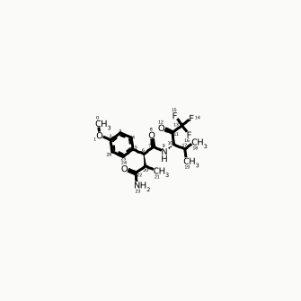 COc1ccc([C@@H](C(=O)N[C@H](C(=O)C(F)(F)F)C(C)C)C(C)C(N)=O)cc1